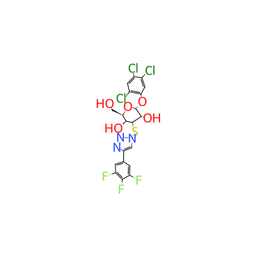 OC[C@H]1O[C@H](Oc2cc(Cl)c(Cl)cc2Cl)[C@H](O)[C@@H](Sn2cc(-c3cc(F)c(F)c(F)c3)nn2)[C@H]1O